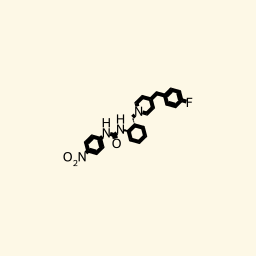 O=C(Nc1ccc([N+](=O)[O-])cc1)N[C@@H]1CCCC[C@H]1CN1CCC(Cc2ccc(F)cc2)CC1